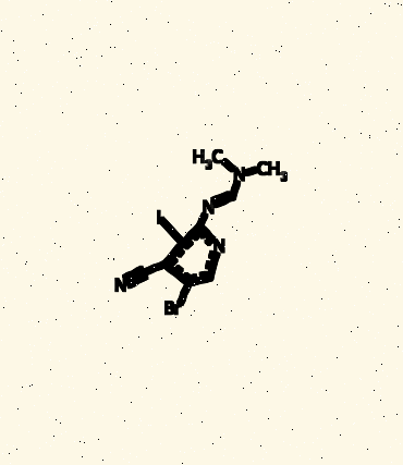 CN(C)/C=N/c1ncc(Br)c(C#N)c1I